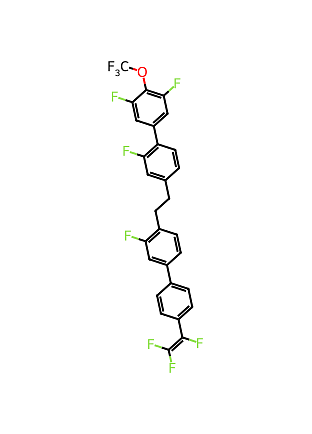 FC(F)=C(F)c1ccc(-c2ccc(CCc3ccc(-c4cc(F)c(OC(F)(F)F)c(F)c4)c(F)c3)c(F)c2)cc1